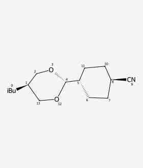 CCC(C)[C@H]1CO[C@H]([C@H]2CC[C@H](C#N)CC2)OC1